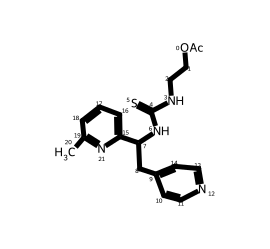 CC(=O)OCCNC(=S)NC(Cc1ccncc1)c1cccc(C)n1